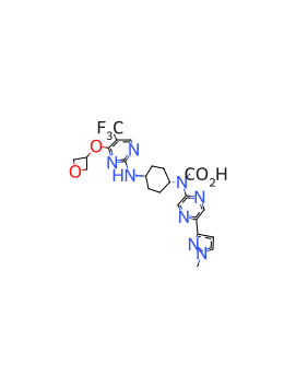 Cn1ccc(-c2cnc(N(C(=O)O)[C@H]3CC[C@H](Nc4ncc(C(F)(F)F)c(OC5COC5)n4)CC3)cn2)n1